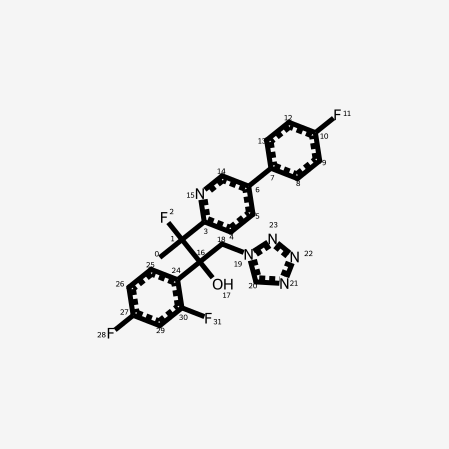 CC(F)(c1ccc(-c2ccc(F)cc2)cn1)C(O)(Cn1cnnn1)c1ccc(F)cc1F